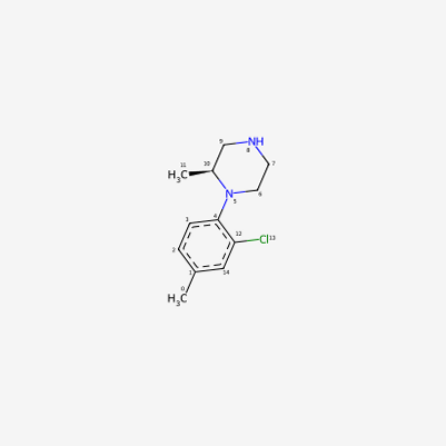 Cc1ccc(N2CCNC[C@@H]2C)c(Cl)c1